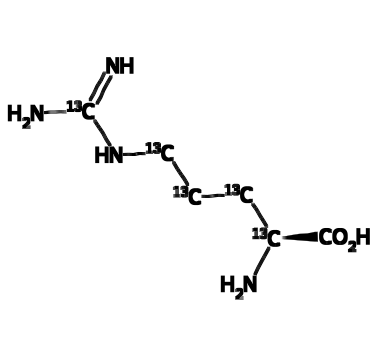 N=[13C](N)N[13CH2][13CH2][13CH2][13C@H](N)[13C](=O)O